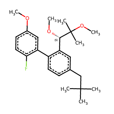 COc1ccc(F)c(-c2ccc(CC(C)(C)C)cc2[C@H](OC)C(C)(C)OC)c1